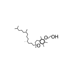 Cc1c(C)c2c(c(C)c1OCCO)CC[C@@](C)(CCC[C@H](C)CCC[C@H](C)CCCC(C)C)O2